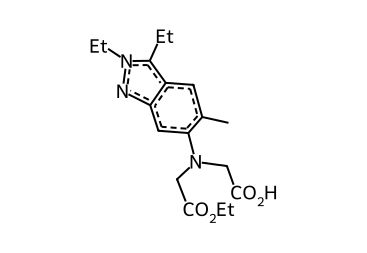 CCOC(=O)CN(CC(=O)O)c1cc2nn(CC)c(CC)c2cc1C